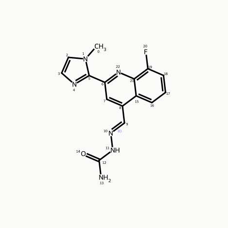 Cn1ccnc1-c1cc(/C=N/NC(N)=O)c2cccc(F)c2n1